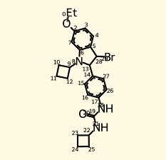 CCOc1ccc2c(c1)N(C1CCC1)C(c1ccc(NC(=O)NC3CCC3)cc1)C2Br